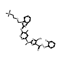 CCCc1sc(N(C)c2cc(C)c(/N=c3\sc4ccccc4n3COCC[Si](C)(C)C)nn2)nc1C(=O)OOc1ccccc1F